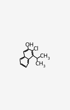 CC(C)c1c(Cl)c(O)cc2ccccc12